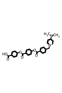 CN(C)c1cc[n+](Cc2ccc(C(=O)Oc3ccc(C(=O)Oc4ccc(C(=O)O)cc4)cc3)cc2)cc1